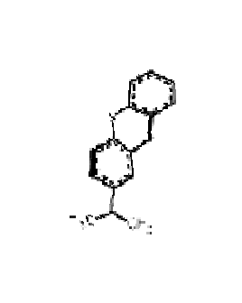 CC(C)c1ccc2c(c1)Cc1ccccc1S2